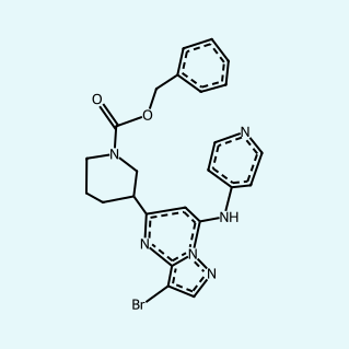 O=C(OCc1ccccc1)N1CCCC(c2cc(Nc3ccncc3)n3ncc(Br)c3n2)C1